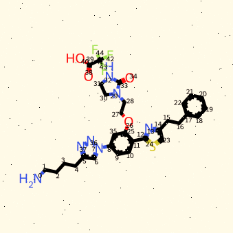 NCCCCc1cn(-c2ccc(-c3nc(CCc4ccccc4)cs3)c(OCCN3CCNC3=O)c2)nn1.O=C(O)C(F)(F)F